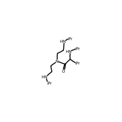 CC(C)NCCN(CCNC(C)C)C(=O)C(NC(C)C)C(C)C